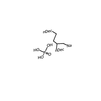 CCCCCCCCCCCCC([CH2][Na])CCCCCCCCCC.O=P(O)(O)O